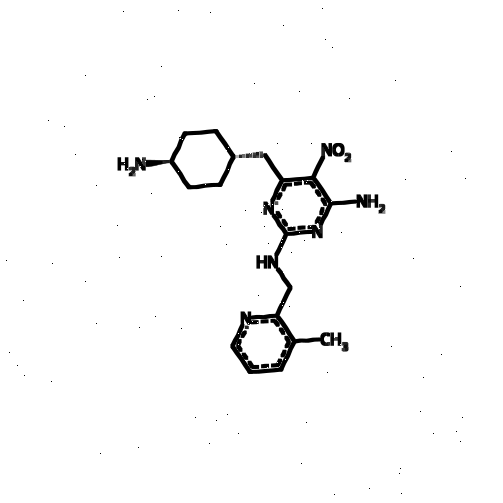 Cc1cccnc1CNc1nc(N)c([N+](=O)[O-])c(C[C@H]2CC[C@H](N)CC2)n1